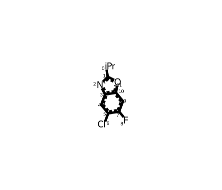 CC(C)c1nc2cc(Cl)c(F)cc2o1